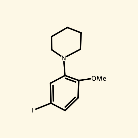 COc1ccc(F)cc1N1CC[CH]CC1